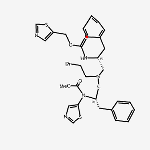 COC(=O)N(c1cncs1)[C@@H](Cc1ccccc1)CN(CCC(C)C)C[C@@H](Cc1ccccc1)NC(=O)OCc1cncs1